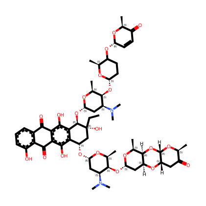 CC[C@@]1(O)C[C@H](O[C@H]2C[C@H](N(C)C)[C@H](O[C@H]3C[C@@H]4O[C@H]5CC(=O)[C@H](C)O[C@H]5O[C@@H]4[C@H](C)O3)[C@H](C)O2)c2c(O)c3c(c(O)c2[C@H]1O[C@H]1C[C@H](N(C)C)[C@H](O[C@H]2CCC(O[C@H]4C=CC(=O)[C@H](C)O4)[C@H](C)O2)[C@H](C)O1)C(=O)c1cccc(O)c1C3=O